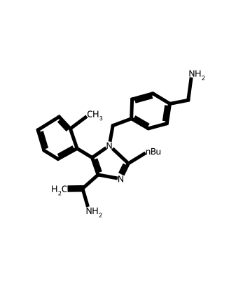 C=C(N)c1nc(CCCC)n(Cc2ccc(CN)cc2)c1-c1ccccc1C